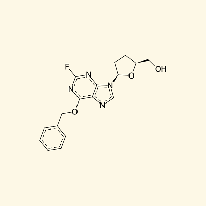 OC[C@@H]1CC[C@H](n2cnc3c(OCc4ccccc4)nc(F)nc32)O1